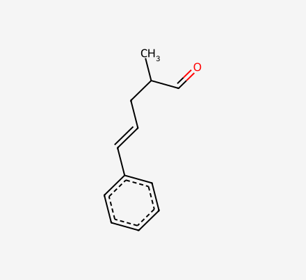 CC(C=O)CC=Cc1ccccc1